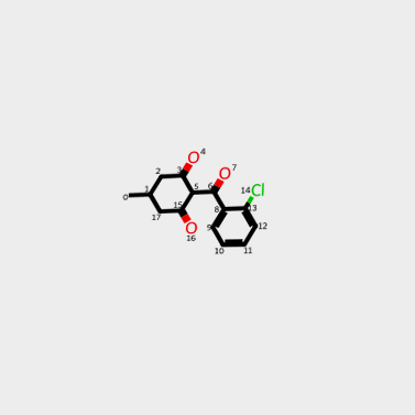 CC1CC(=O)C(C(=O)c2ccccc2Cl)C(=O)C1